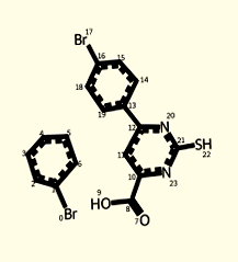 Brc1ccccc1.O=C(O)c1cc(-c2ccc(Br)cc2)nc(S)n1